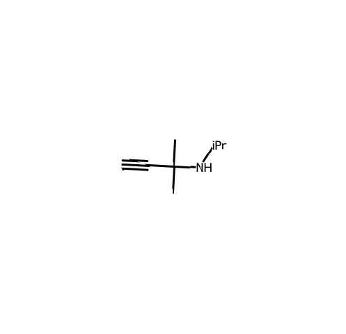 C#CC(C)(C)NC(C)C